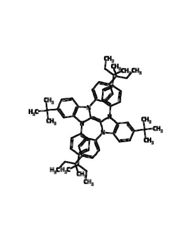 CCC(C)c1ccc(N2/C(=C3/N(c4ccc(C(C)CC)cc4)c4ccc(C(C)(C)C)cc4N3c3ccc(C(C)CC)cc3)N(c3ccc(C(C)CC)cc3)c3cc(C(C)(C)C)ccc32)cc1